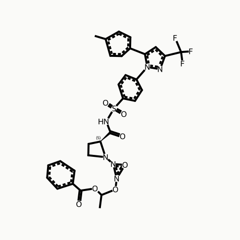 Cc1ccc(-c2cc(C(F)(F)F)nn2-c2ccc(S(=O)(=O)NC(=O)[C@@H]3CCN3n3on3OC(C)OC(=O)c3ccccc3)cc2)cc1